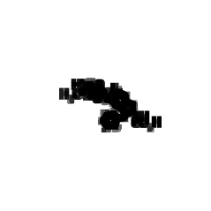 Cc1nc(S(=O)(=O)NCc2cc3c(cc2F)CC(NC(=O)O)C3Cc2ccccc2)c[nH]1